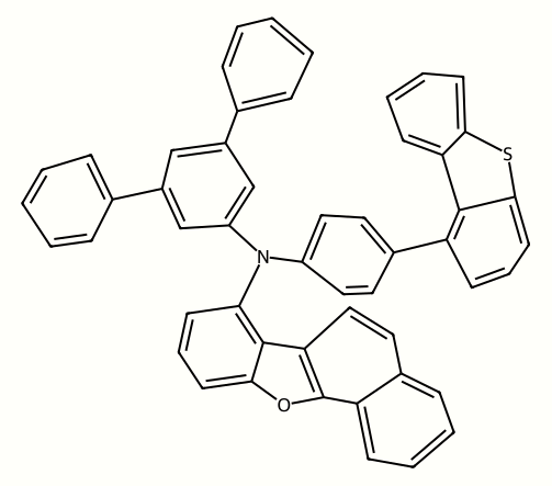 c1ccc(-c2cc(-c3ccccc3)cc(N(c3ccc(-c4cccc5sc6ccccc6c45)cc3)c3cccc4oc5c6ccccc6ccc5c34)c2)cc1